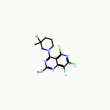 [2H]C1(C)CCCN(c2nc(SC)nc3c(F)c(Cl)nc(Cl)c23)C1